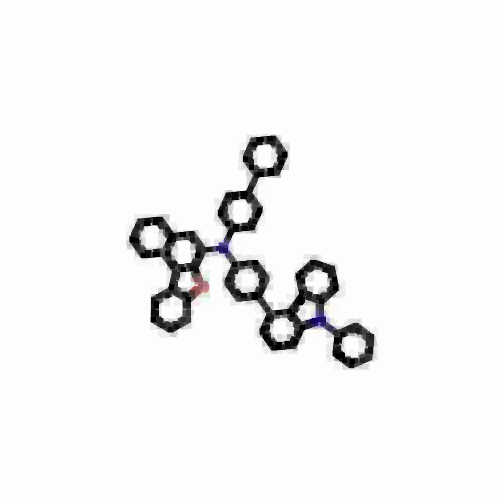 c1ccc(-c2ccc(N(c3ccc(-c4cccc5c4c4ccccc4n5-c4ccccc4)cc3)c3cc4ccccc4c4c3oc3ccccc34)cc2)cc1